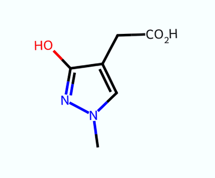 Cn1cc(CC(=O)O)c(O)n1